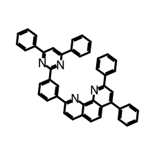 c1ccc(-c2cc(-c3ccccc3)nc(-c3cccc(-c4ccc5ccc6c(-c7ccccc7)cc(-c7ccccc7)nc6c5n4)c3)n2)cc1